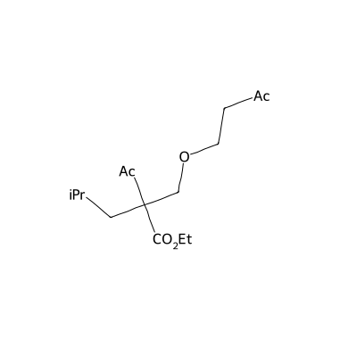 CCOC(=O)C(COCCC(C)=O)(CC(C)C)C(C)=O